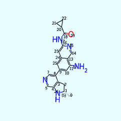 C[C@H]1Cc2c(cncc2-c2cc(N)c3cnc(NC(=O)C4CC4)cc3c2)N1